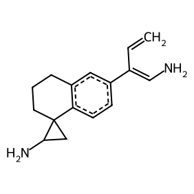 C=C/C(=C\N)c1ccc2c(c1)CCCC21CC1N